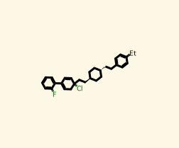 CCc1ccc(CC[C@H]2CC[C@H](CCC3(Cl)C=CC(c4ccccc4F)=CC3)CC2)cc1